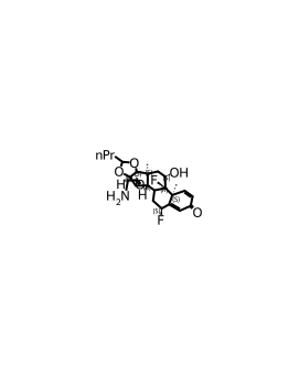 CCCC1O[C@@H]2C[C@H]3C4C[C@H](F)C5=CC(=O)C=C[C@]5(C)[C@@]4(F)[C@@H](O)C[C@]3(C)[C@]2(C(=O)CN)O1